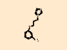 Nc1cccc(NCCCn2ccnc2)c1